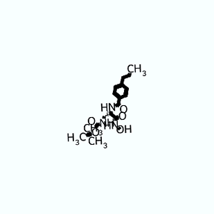 CCCc1ccc(C(=O)N[C@@H](CNC(=O)OC(C)(C)C)C(=O)NO)cc1